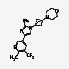 CCC(C)c1nc(-c2cnc(C)c(C(F)(F)F)c2)cn1C12CC(N3CCOCC3)(C1)C2